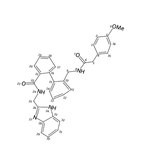 COc1ccc(CC(=O)NCc2ccccc2-c2ccccc2C(=O)NCc2nc3ccccc3[nH]2)cc1